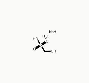 O.O=S(=O)(O)CO.[NaH]